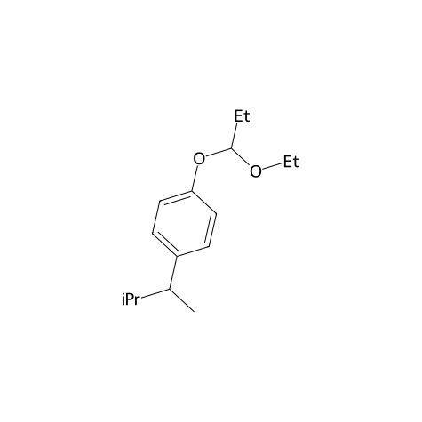 CCOC(CC)Oc1ccc(C(C)C(C)C)cc1